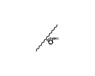 CCCCCCCCCCCCCCCCCC.CCCCC[O].O=Cc1ccccc1